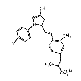 CC1=NN(c2ccc(Cl)cc2)C(COc2ccc(CC(C)C(=O)O)cc2C)C1